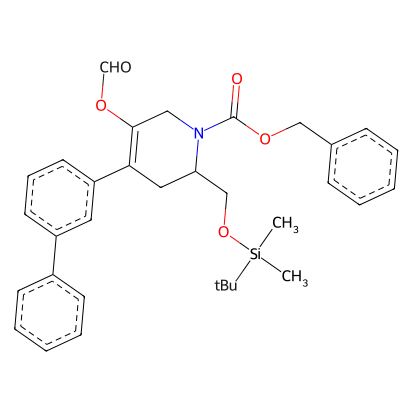 CC(C)(C)[Si](C)(C)OCC1CC(c2cccc(-c3ccccc3)c2)=C(OC=O)CN1C(=O)OCc1ccccc1